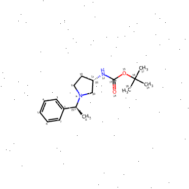 C[C@@H](c1ccccc1)N1CC[C@H](NC(=O)OC(C)(C)C)C1